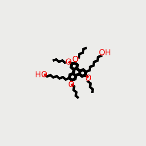 CCCCCOc1cc2c(cc1CCCCCCCO)c1cc(OCCCCC)c(OCCCCC)cc1c1cc(CCCCCCCO)c(OCCCCC)cc12